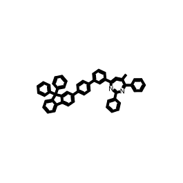 CC1=C=C(c2cccc(-c3ccc(-c4ccc5c(c4)C(c4ccccc4)(c4ccccc4)c4ccccc4-5)cc3)c2)N=C(c2ccccc2)N=C1c1ccccc1